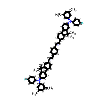 Cc1cc(C)cc(N(c2ccc(F)cc2)c2ccc3c(c2)C(C)(C)c2cc(/C=C/c4ccc(/C=C/c5ccc6c(c5)C(C)(C)c5cc(N(c7ccc(F)cc7)c7cc(C)cc(C)c7)ccc5-6)cc4)ccc2-3)c1